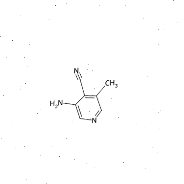 Cc1cncc(N)c1C#N